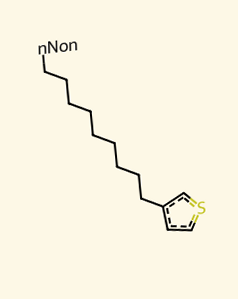 CCCCCCCCCCCCCCCCCCc1ccsc1